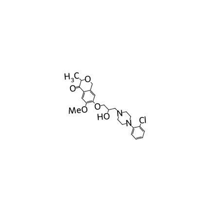 COc1cc2c(cc1OCC(O)CN1CCN(c3ccccc3Cl)CC1)COC(C)C2=O